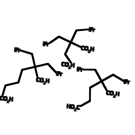 CC(C)CC(CC(=O)O)(CC(C)C)C(=O)O.CC(C)CC(CCC(=O)O)(CC(C)C)C(=O)O.CC(C)CC(CCCC(=O)O)(CC(C)C)C(=O)O